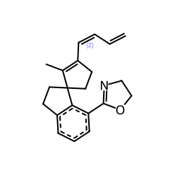 C=C/C=C\C1=C(C)C2(CC1)CCc1cccc(C3=NCCO3)c12